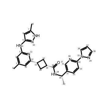 Cc1cc(Nc2cc(C)[nH]n2)nc([C@H]2C[C@@H](C(=O)N[C@@H](C)c3ccc(-n4cccn4)nc3)C2)c1